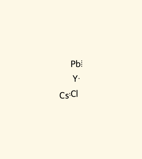 [Cl].[Cs].[Pb].[Y]